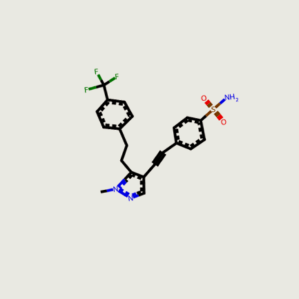 Cn1ncc(C#Cc2ccc(S(N)(=O)=O)cc2)c1CCc1ccc(C(F)(F)F)cc1